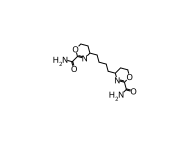 NC(=O)C1=NC(CCCCC2CCOC(C(N)=O)=N2)CCO1